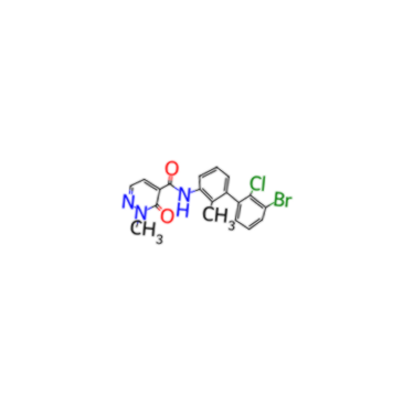 Cc1c(NC(=O)c2ccnn(C)c2=O)cccc1-c1cccc(Br)c1Cl